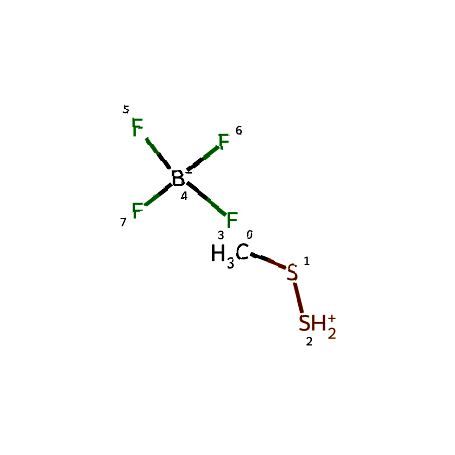 CS[SH2+].F[B-](F)(F)F